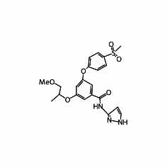 COCC(C)Oc1cc(Oc2ccc(S(C)(=O)=O)cc2)cc(C(=O)Nc2cc[nH]n2)c1